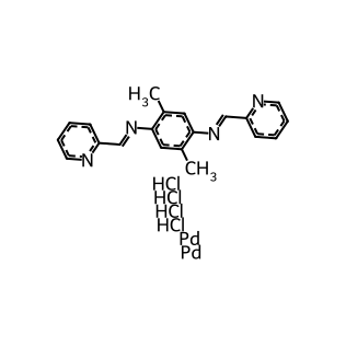 Cc1cc(N=Cc2ccccn2)c(C)cc1N=Cc1ccccn1.Cl.Cl.Cl.Cl.[Pd].[Pd]